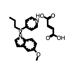 CCCN(c1ccncc1)n1ccc2cc(OC)ccc21.O=C(O)C=CC(=O)O